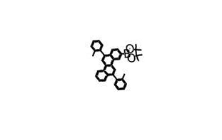 Cc1ccccc1-c1cc2c3cc(B4OC(C)(C)C(C)(C)O4)ccc3c(-c3ccccc3C)cc2c2ccccc12